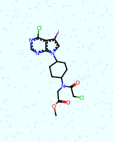 COC(=O)CN(C(=O)CCl)C1CCC(n2cc(I)c3c(Cl)ncnc32)CC1